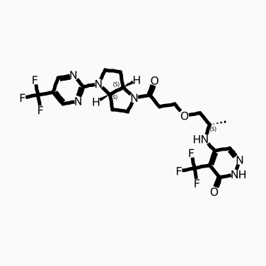 C[C@@H](COCCC(=O)N1CC[C@H]2[C@@H]1CCN2c1ncc(C(F)(F)F)cn1)Nc1cn[nH]c(=O)c1C(F)(F)F